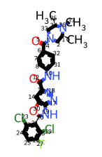 C[C@@H]1CN(C(=O)c2ccc(NC(=O)c3cc4c(nn3)N[C@H](c3c(Cl)ccc(F)c3Cl)O4)cc2)C[C@H](C)N1C